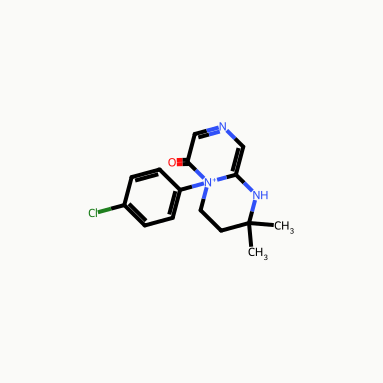 CC1(C)CC[N+]2(c3ccc(Cl)cc3)C(=O)C=NC=C2N1